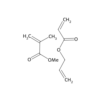 C=C(C)C(=O)OC.C=CCOC(=O)C=C